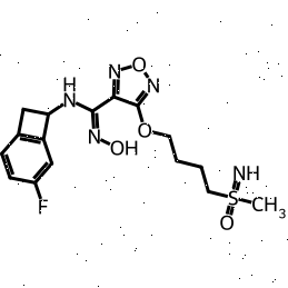 CS(=N)(=O)CCCCOc1nonc1C(=NO)NC1Cc2ccc(F)cc21